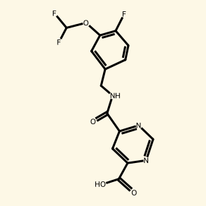 O=C(O)c1cc(C(=O)NCc2ccc(F)c(OC(F)F)c2)ncn1